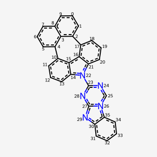 c1cc2c3c(cccc3c1)-c1cccc3c1c1c-2cccc1n3-c1ncn2c(n1)nc1ccccc12